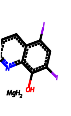 Oc1c(I)cc(I)c2cccnc12.[MgH2]